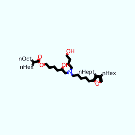 CCCCCCCCC(CCCCCC)C(=O)OCCCCC(O)CN(CCCCO)CCCCCc1occ(CCCCCC)c1CCCCCCC